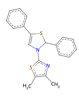 Cc1nc(N2C=C(c3ccccc3)SC2c2ccccc2)sc1C